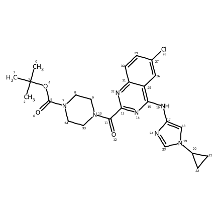 CC(C)(C)OC(=O)N1CCN(C(=O)c2nc(Nc3cn(C4CC4)cn3)c3cc(Cl)ccc3n2)CC1